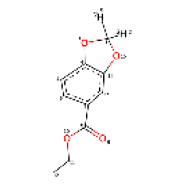 [2H]C1([2H])Oc2ccc(C(=O)OCC)cc2O1